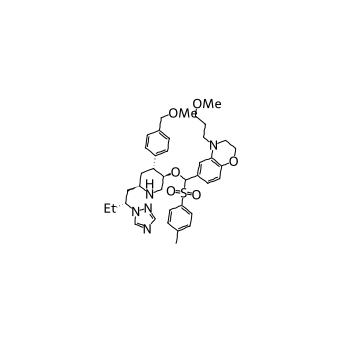 CC[C@H](C[C@H]1C[C@H](c2ccc(COC)cc2)[C@@H](OC(c2ccc3c(c2)N(CCCOC)CCO3)S(=O)(=O)c2ccc(C)cc2)CN1)n1cncn1